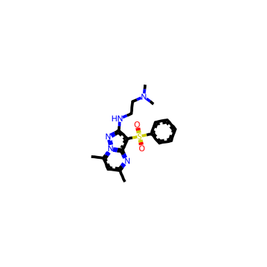 Cc1cc(C)n2nc(NCCN(C)C)c(S(=O)(=O)c3ccccc3)c2n1